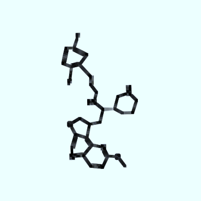 COc1ccc2ncc3c(c2n1)C(CC(NCC=Cc1cc(F)ccc1F)[C@H]1CCCNC1)CO3